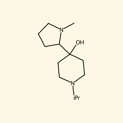 CC(C)N1CCC(O)(C2CCCN2C)CC1